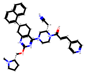 CN1CCC[C@H]1COc1nc2c(c(N3CCN(C(=O)/C=C/c4ccncc4)[C@@H](CC#N)C3)n1)CC[C@H](c1cccc3ccccc13)C2